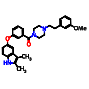 COc1cccc(CCN2CCN(C(=O)c3cccc(Oc4ccc5[nH]c(C)c(C)c5c4)c3)CC2)c1